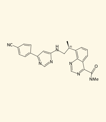 CNC(=O)c1ncnc2c([C@H](C)CNc3cc(-c4ccc(C#N)cc4)ncn3)cccc12